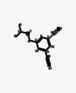 CC(C)OCc1cc(C#N)cc(C#N)c1